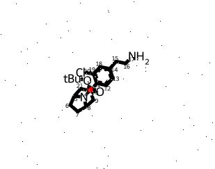 CC(C)(C)OC(=O)N1C2CCC1CN(c1ccc(CCN)cc1Cl)C2